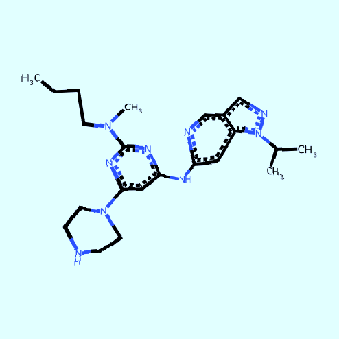 CCCCN(C)c1nc(Nc2cc3c(cn2)cnn3C(C)C)cc(N2CCNCC2)n1